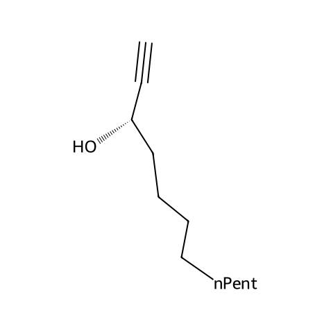 C#C[C@@H](O)CCCCCCCCC